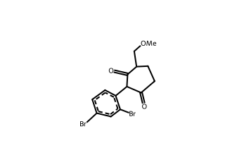 COCC1CCC(=O)C(c2ccc(Br)cc2Br)C1=O